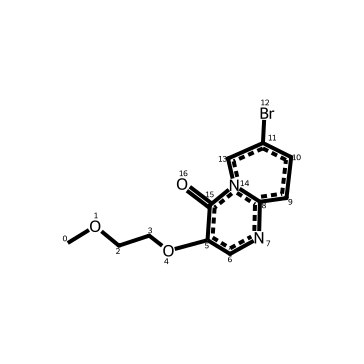 COCCOc1cnc2ccc(Br)cn2c1=O